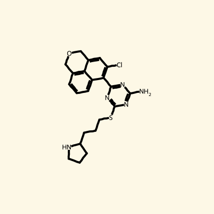 Nc1nc(SCCCC2CCCN2)nc(-c2c(Cl)cc3c4c(cccc24)COC3)n1